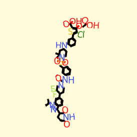 CC(C)n1nc(C2CCC(=O)NC2=O)c2ccc(C3CCN(C(=O)Nc4cccc(CS(=O)(=O)N5CC[C@H](Nc6cccc(-c7sc(C(=O)O)c(OCC(=O)O)c7Cl)c6)CC5(C)C)c4)CC3(F)F)cc21